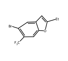 CCc1cc2cc(Br)c(C(F)(F)F)cc2o1